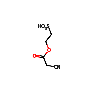 N#CCC(=O)OCCS(=O)(=O)O